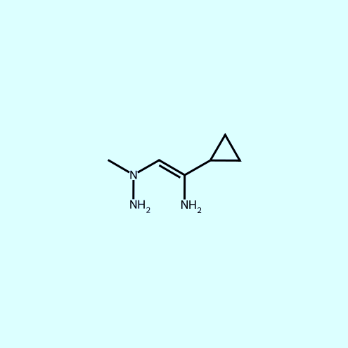 CN(N)/C=C(\N)C1CC1